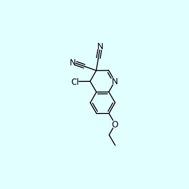 CCOc1ccc2c(c1)N=CC(C#N)(C#N)C2Cl